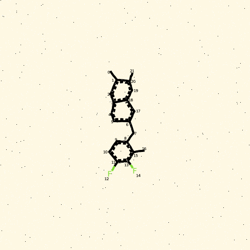 Cc1cc2ccc(Cc3ccc(F)c(F)c3C)cc2cc1C